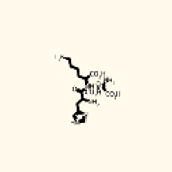 CC(=O)O.NCC(=O)O.NCCCCC(NC(=O)C(N)Cc1c[nH]cn1)C(=O)O